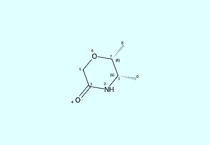 C[C@@H]1NC(=O)CO[C@@H]1C